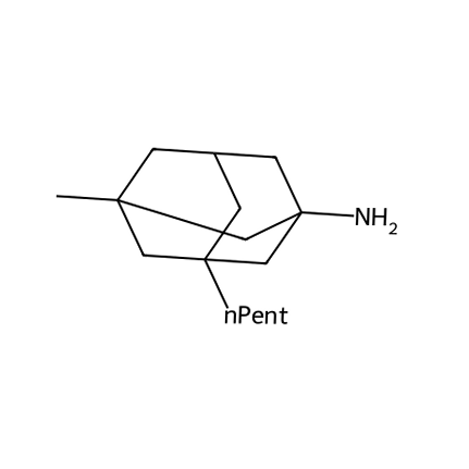 CCCCCC12CC3CC(C)(CC(N)(C3)C1)C2